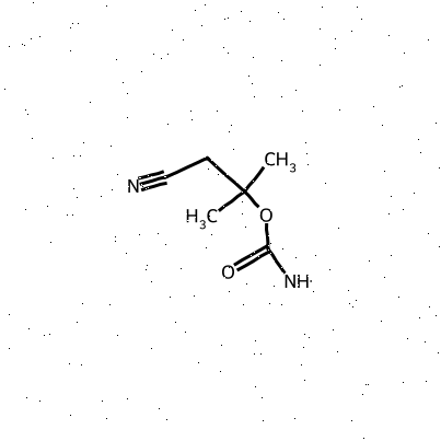 CC(C)(CC#N)OC([NH])=O